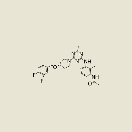 CC(=O)Nc1cccc(Nc2nc(C)nc(N3CCC(OCc4ccc(F)c(F)c4)CC3)n2)c1C